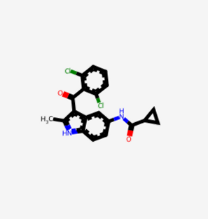 Cc1[nH]c2ccc(NC(=O)C3CC3)cc2c1C(=O)c1c(Cl)cccc1Cl